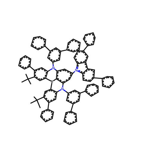 CC(C)(C)c1cc2c(cc1-c1ccccc1)N(c1cc(-c3ccccc3)cc(-c3ccccc3)c1)c1cc(-n3c4ccc(-c5ccccc5)cc4c4cc(-c5ccccc5)ccc43)cc3c1B2c1cc(C(C)(C)C)c(-c2ccccc2)cc1N3c1cc(-c2ccccc2)cc(-c2ccccc2)c1